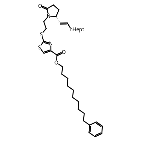 CCCCCCCC=C[C@H]1CCC(=O)N1CCSc1nc(C(=O)OCCCCCCCCCCc2ccccc2)cs1